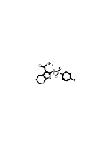 NC(=O)c1c(NS(=O)(=O)c2ccc(F)cc2)sc2c1CCCC2